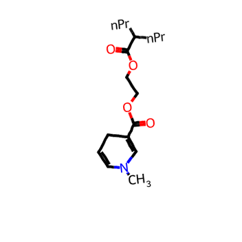 CCCC(CCC)C(=O)OCCOC(=O)C1=CN(C)C=CC1